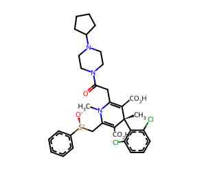 CN1C(CC(=O)N2CCN(C3CCCC3)CC2)=C(C(=O)O)[C@](C)(c2c(Cl)cccc2Cl)C(C(=O)O)=C1C[S@+]([O-])c1ccccc1